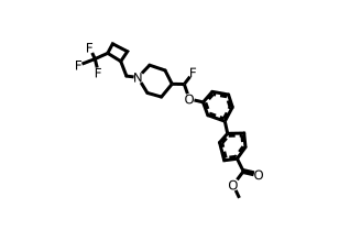 COC(=O)c1ccc(-c2cccc(OC(F)C3CCN(CC4CCC4C(F)(F)F)CC3)c2)cc1